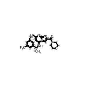 C[C@@H](Nc1cc(Cl)nc2nc(C(=O)N3CCOCC3)cn12)c1cc(N)cc(C(F)(F)F)c1